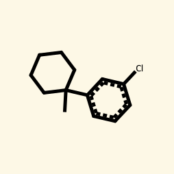 CC1(c2cccc(Cl)c2)CCCCC1